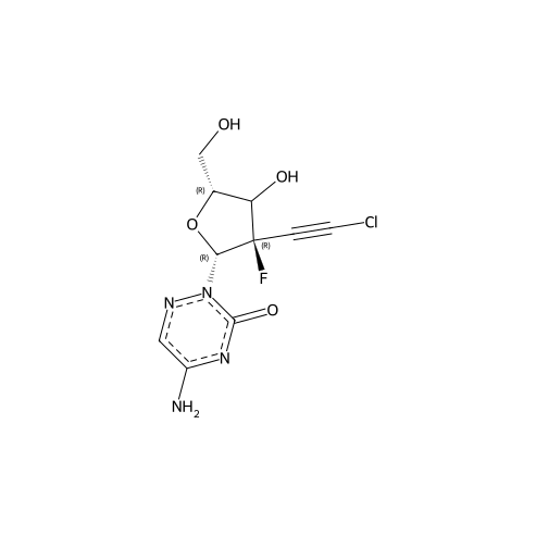 Nc1cnn([C@@H]2O[C@H](CO)C(O)[C@]2(F)C#CCl)c(=O)n1